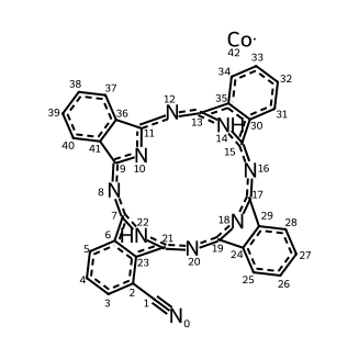 N#Cc1cccc2c3nc4nc(nc5[nH]c(nc6nc(nc([nH]3)c12)-c1ccccc1-6)c1ccccc51)-c1ccccc1-4.[Co]